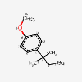 CC(C)(C)CC(C)(C)c1ccc(OC=O)cc1